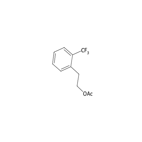 CC(=O)OCCc1ccccc1C(F)(F)F